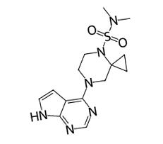 CN(C)S(=O)(=O)N1CCN(c2ncnc3[nH]ccc23)CC12CC2